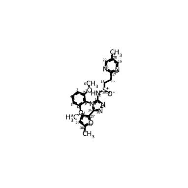 COc1cccc(OC)c1-n1c(N[S+]([O-])CCc2ncc(C)cn2)nnc1-c1ccc(C)o1